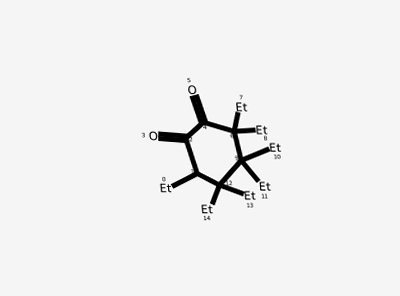 CCC1C(=O)C(=O)C(CC)(CC)C(CC)(CC)C1(CC)CC